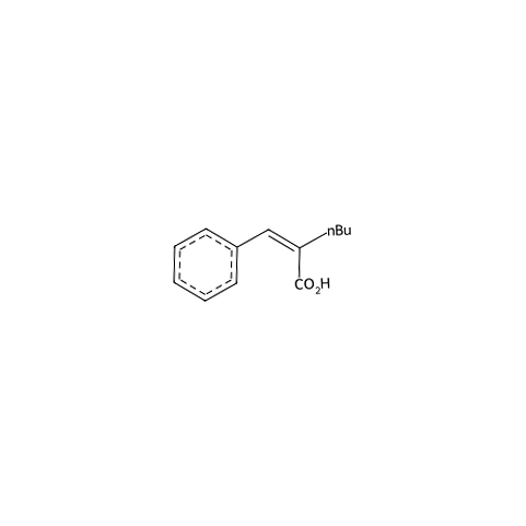 CCCCC(=Cc1ccccc1)C(=O)O